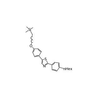 CCCCCCc1ccc(-c2ncc(-c3ccc(OCCC[Si](C)(C)C)cc3)s2)cc1